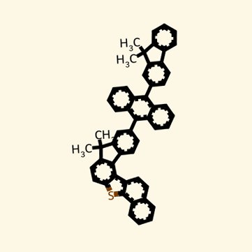 CC1(C)c2ccccc2-c2ccc(-c3c4ccccc4c(-c4ccc5c(c4)C(C)(C)c4ccc6sc7c8ccccc8ccc7c6c4-5)c4ccccc34)cc21